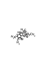 CCOP(=O)(OCC)OC1C(=O)Nc2cc(C)c(C)c(Br)c21